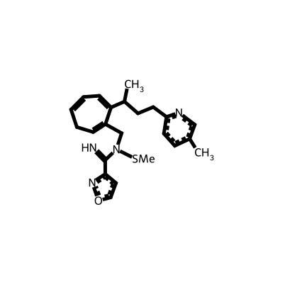 CSN(CC1=CCC=CC=C1C(C)CCc1ccc(C)cn1)C(=N)c1ccon1